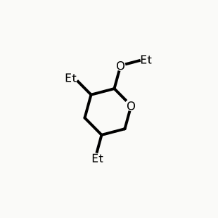 CCOC1OCC(CC)CC1CC